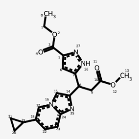 CCOC(=O)c1cc(C(CC(=O)OC)c2cn3cc(C4CC4)ccc3n2)[nH]n1